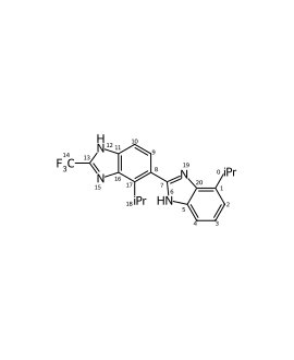 CC(C)c1cccc2[nH]c(-c3ccc4[nH]c(C(F)(F)F)nc4c3C(C)C)nc12